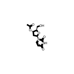 CC(=O)O[C@H]1C[C@H](n2ccc(=O)[nH]c2=O)O[C@@H]1CO